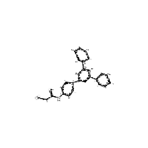 O=C(CCl)Nc1ccc(-c2cc(-c3ccccc3)nc(-c3ccccc3)c2)cc1